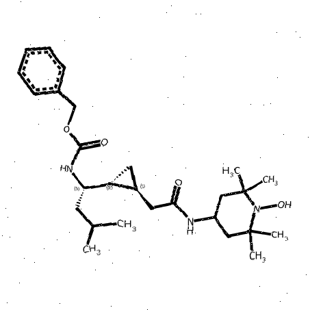 CC(C)C[C@H](NC(=O)OCc1ccccc1)[C@@H]1C[C@H]1CC(=O)NC1CC(C)(C)N(O)C(C)(C)C1